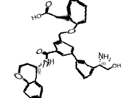 N[C@H](CO)c1cccc(-c2cc(COc3ccccc3CC(=O)O)cc(C(=O)N[C@H]3CCOc4ccccc43)c2)c1